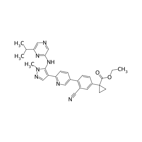 CCOC(=O)C1(c2ccc(-c3ccc(-c4cnn(C)c4Nc4cncc(C(C)C)n4)nc3)c(C#N)c2)CC1